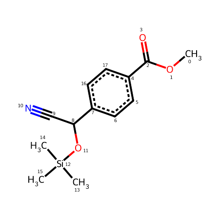 COC(=O)c1ccc(C(C#N)O[Si](C)(C)C)cc1